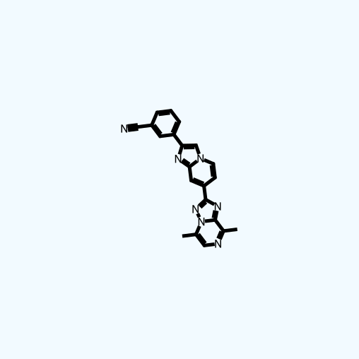 Cc1ncc(C)n2nc(-c3ccn4cc(-c5cccc(C#N)c5)nc4c3)nc12